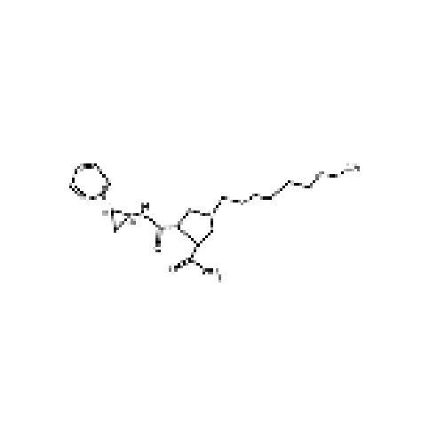 NC(=O)C1CN(CCCCCCCCO)CC1C(=O)N[C@H]1C[C@@H]1c1ccccc1